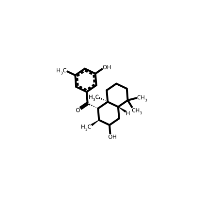 Cc1cc(O)cc(C(=O)[C@H]2[C@H](C)C(O)C[C@H]3C(C)(C)CCC[C@]23C)c1